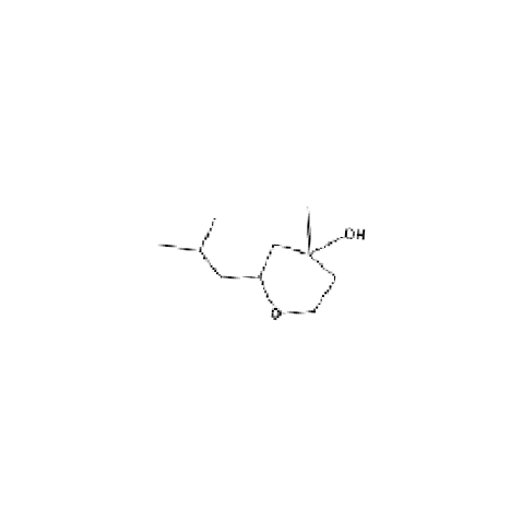 CC(C)CC1CC(C)(O)CCO1